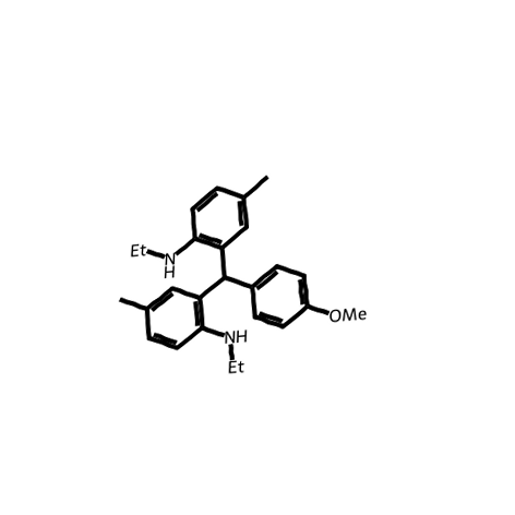 CCNc1ccc(C)cc1C(c1ccc(OC)cc1)c1cc(C)ccc1NCC